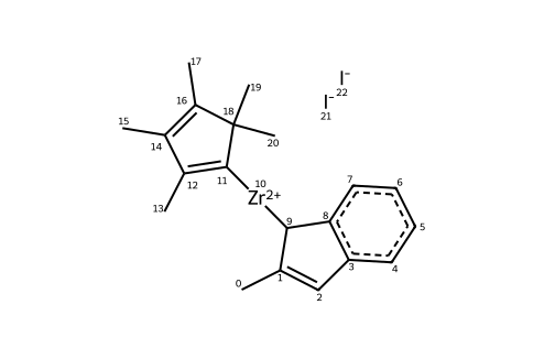 CC1=Cc2ccccc2[CH]1[Zr+2][C]1=C(C)C(C)=C(C)C1(C)C.[I-].[I-]